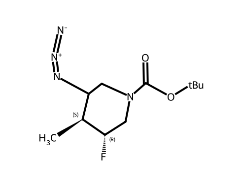 C[C@H]1C(N=[N+]=[N-])CN(C(=O)OC(C)(C)C)C[C@@H]1F